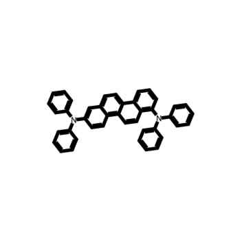 c1ccc(N(c2ccccc2)c2ccc3c(ccc4c5cccc(N(c6ccccc6)c6ccccc6)c5ccc34)c2)cc1